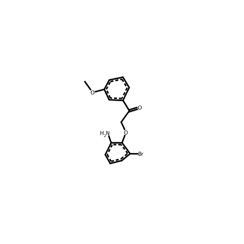 COc1cccc(C(=O)COc2c(N)cccc2Br)c1